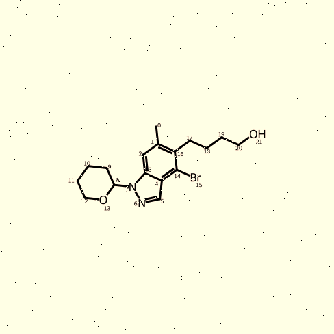 Cc1cc2c(cnn2C2CCCCO2)c(Br)c1CCCCO